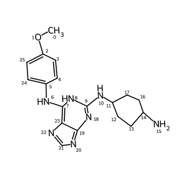 COc1ccc(Nc2[nH]c(NC3CCC(N)CC3)nc3ncnc2-3)cc1